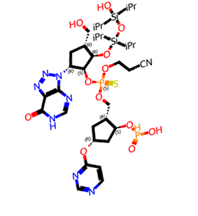 CC(C)[Si](O)(O[Si](O[C@@H]1[C@@H](CO)C[C@@H](n2nnc3c(=O)[nH]cnc32)[C@@H]1O[P@](=S)(OCCC#N)OC[C@H]1C[C@@H](Oc2ccncn2)C[C@@H]1O[PH](=O)O)(C(C)C)C(C)C)C(C)C